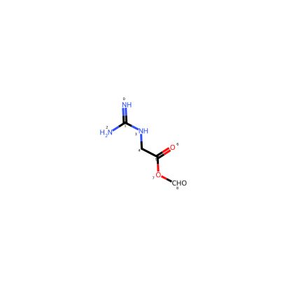 N=C(N)NCC(=O)OC=O